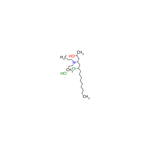 CCCCCCCCCC(Cl)CC(CC(C)O)N(CCC)CCC.Cl